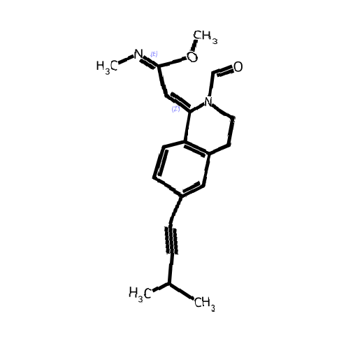 C/N=C(\C=C1\c2ccc(C#CC(C)C)cc2CCN1C=O)OC